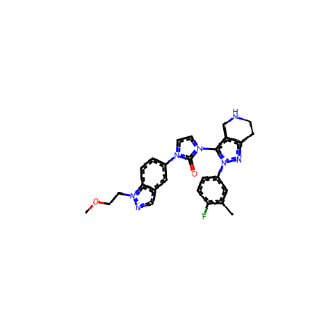 COCCn1ncc2cc(-n3ccn(-c4c5c(nn4-c4ccc(F)c(C)c4)CCNC5)c3=O)ccc21